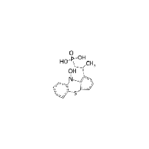 CC(CP(=O)(O)O)c1cccc2c1N(O)c1ccccc1S2